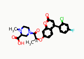 C[C@@H](Oc1ccc2c(-c3ccc(F)cc3Cl)cc(=O)oc2c1)C(=O)N1CCN(C)C(C(=O)O)C1